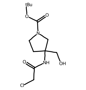 CC(C)(C)OC(=O)N1CCC(CO)(NC(=O)CCl)C1